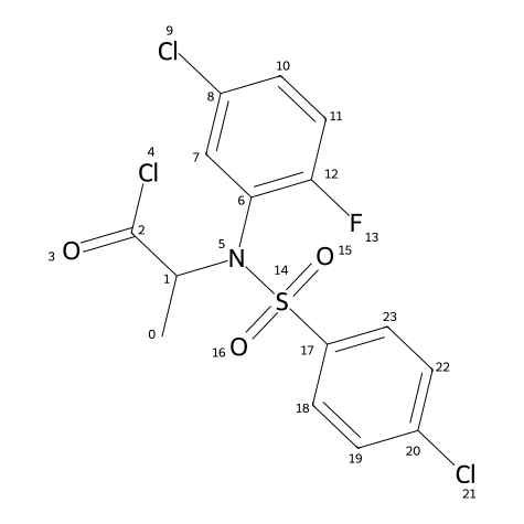 CC(C(=O)Cl)N(c1cc(Cl)ccc1F)S(=O)(=O)c1ccc(Cl)cc1